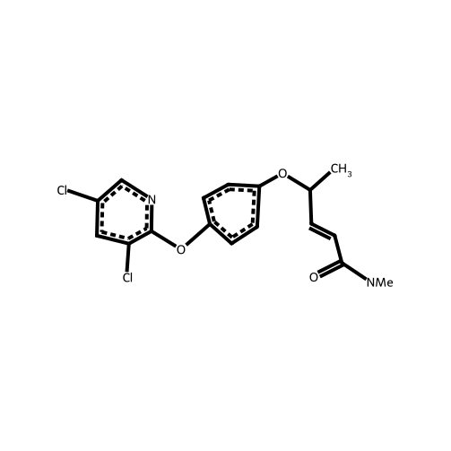 CNC(=O)/C=C/C(C)Oc1ccc(Oc2ncc(Cl)cc2Cl)cc1